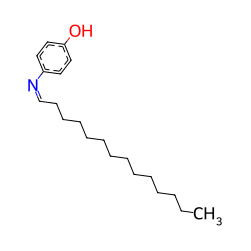 CCCCCCCCCCCCC/C=N\c1ccc(O)cc1